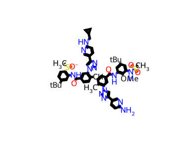 COc1c(NC(=O)c2ccc(C)c(-n3cc(-c4ccc(N)nc4)nn3)c2)cc(C(C)(C)C)cc1NS(C)(=O)=O.Cc1ccc(C(=O)Nc2cc(C(C)(C)C)ccc2[S+](C)[O-])cc1-n1cc(-c2ccc(NCC3CC3)nc2)nn1